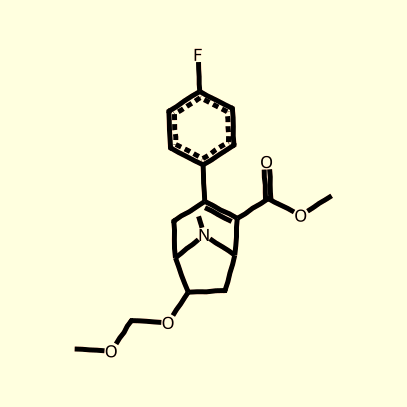 COCOC1CC2C(C(=O)OC)=C(c3ccc(F)cc3)CC1N2C